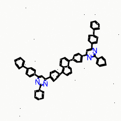 c1ccc(-c2ccc(-c3cc(-c4ccc(-c5cccc6c(-c7ccc(-c8cc(-c9ccc(-c%10ccccc%10)cc9)nc(-c9ccccc9)n8)cc7)cccc56)cc4)nc(-c4ccccc4)n3)cc2)cc1